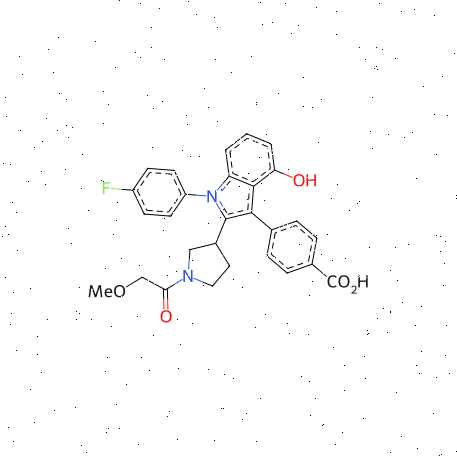 COCC(=O)N1CCC(c2c(-c3ccc(C(=O)O)cc3)c3c(O)cccc3n2-c2ccc(F)cc2)C1